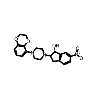 O=[N+]([O-])c1ccc2c(c1)[C@H](O)C(N1CCN(c3cccc4c3OCCO4)CC1)C2